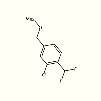 CSOCc1ccc(C(F)F)c(Cl)c1